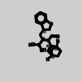 O=CN([C@H](C[C@@H]1COc2ccccc21)B(O)O)[C@@H]1C[C@H]2CC[C@@H]1O2